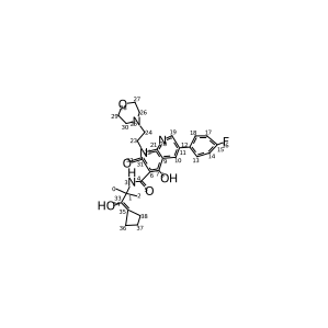 CC(C)(NC(=O)c1c(O)c2cc(-c3ccc(F)cc3)cnc2n(CCN2CCOCC2)c1=O)C(O)=C1CCC1